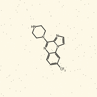 FC(F)(F)c1ccc2nc(N3CCNCC3)c3nccn3c2c1